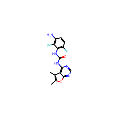 Cc1oc2ncnc(NC(=O)Nc3c(F)ccc(N)c3F)c2c1C